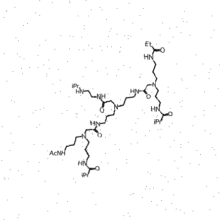 CCC(=O)NCCCN(CCCNC(=O)C(C)C)CC(=O)NCCCN(CCCNC(=O)CN(CCCNC(C)=O)CCCNC(=O)C(C)C)CC(=O)NCCNC(C)C